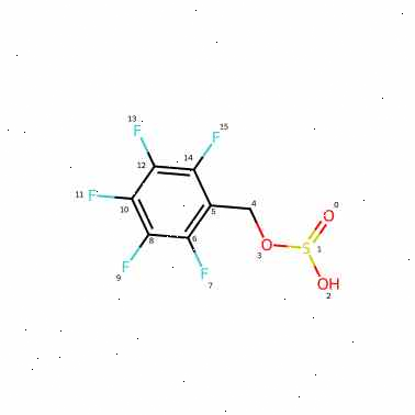 O=S(O)OCc1c(F)c(F)c(F)c(F)c1F